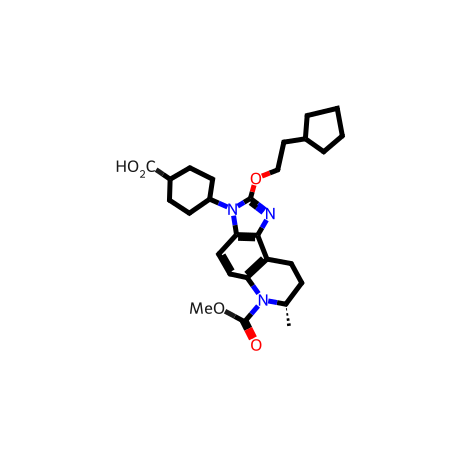 COC(=O)N1c2ccc3c(nc(OCCC4CCCC4)n3C3CCC(C(=O)O)CC3)c2CC[C@@H]1C